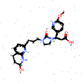 COc1ccc(C(CC(=O)O)N2CCN(CCCc3ccc4c(n3)NC(O)CC4)C2=O)cn1